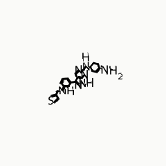 N[C@H]1CC[C@H](Nc2ncc3c(-c4cccc(NCc5ccsc5)c4)n[nH]c3n2)CC1